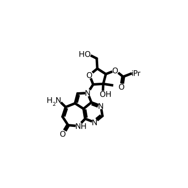 CC(C)C(=O)OC1C(CO)OC(n2cc3c4c(ncnc42)NC(=O)C=C3N)C1(C)O